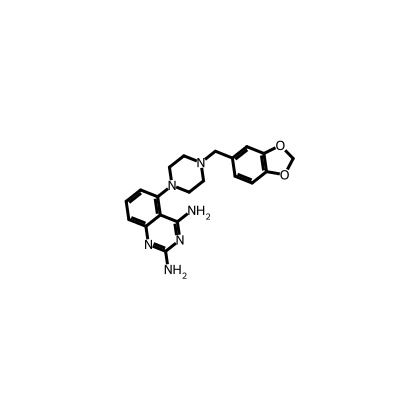 Nc1nc(N)c2c(N3CCN(Cc4ccc5c(c4)OCO5)CC3)cccc2n1